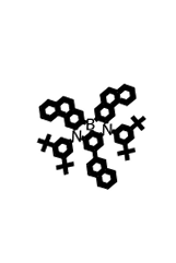 CC(C)(C)c1cc(N2c3cc4c(ccc5ccccc54)cc3B3c4cc5ccc6ccccc6c5cc4N(c4cc(C(C)(C)C)cc(C(C)(C)C)c4)c4cc(-c5ccc6ccccc6c5)cc2c43)cc(C(C)(C)C)c1